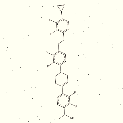 CC(O)c1ccc(C2=CCC(c3ccc(CCc4ccc(C5CO5)c(F)c4F)c(F)c3F)CC2)c(F)c1F